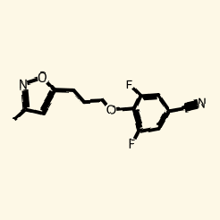 Cc1cc(CCCOc2c(F)cc(C#N)cc2F)on1